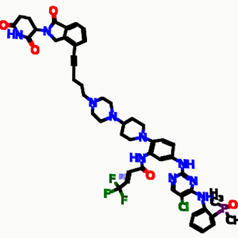 CP(C)(=O)c1ccccc1Nc1nc(Nc2ccc(N3CCC(N4CCN(CCCC#Cc5cccc6c5CN(C5CCC(=O)NC5=O)C6=O)CC4)CC3)c(NC(=O)/C=C/C(F)(F)F)c2)ncc1Cl